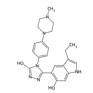 CCc1c[nH]c2cc(O)c(-c3nnc(O)n3-c3ccc(N4CCN(C)CC4)cc3)cc12